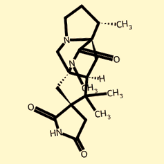 C[C@H]1CCN2C[C@]34C[C@]5(CC(=O)NC5=O)C(C)(C)[C@@H]3C[C@]12C(=O)N4C